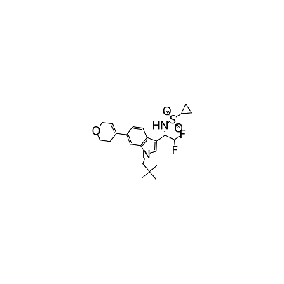 CC(C)(C)Cn1cc([C@H](NS(=O)(=O)C2CC2)C(F)F)c2ccc(C3=CCOCC3)cc21